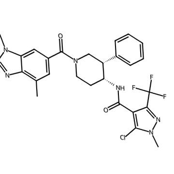 Cc1cc(C(=O)N2CC[C@@H](NC(=O)c3c(C(F)(F)F)nn(C)c3Cl)[C@@H](c3ccccc3)C2)cc2c1ncn2C